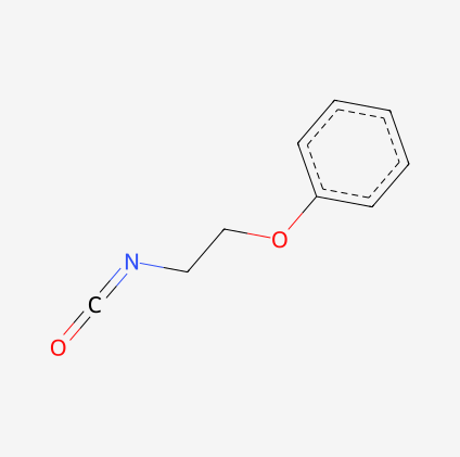 O=C=NCCOc1ccccc1